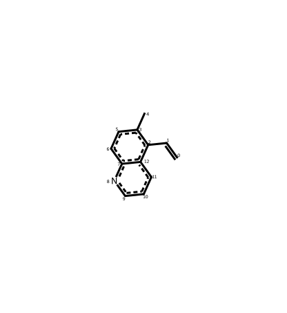 C=Cc1c(C)ccc2ncccc12